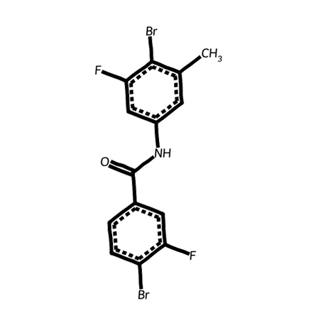 Cc1cc(NC(=O)c2ccc(Br)c(F)c2)cc(F)c1Br